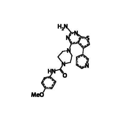 COc1ccc(NC(=O)N2CCN(c3nc(N)nc4scc(-c5cccnc5)c34)CC2)cc1